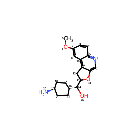 COc1ccc2ncc3c(c2c1)CC(C(O)[C@H]1CC[C@H](N)CC1)O3